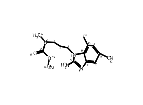 CN(CCCn1c(N)nc2cc(C#N)cc(I)c21)C(=O)OC(C)(C)C